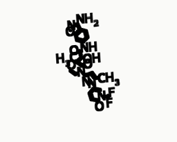 Cc1cc(N2CCOC(C)([C@@H](O)C(=O)Nc3ccc4c(N)noc4c3)C2=O)nn1-c1ccc(=O)n(C(F)F)c1